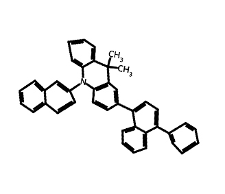 CC1(C)c2ccccc2N(c2ccc3ccccc3c2)c2ccc(-c3ccc(-c4ccccc4)c4ccccc34)cc21